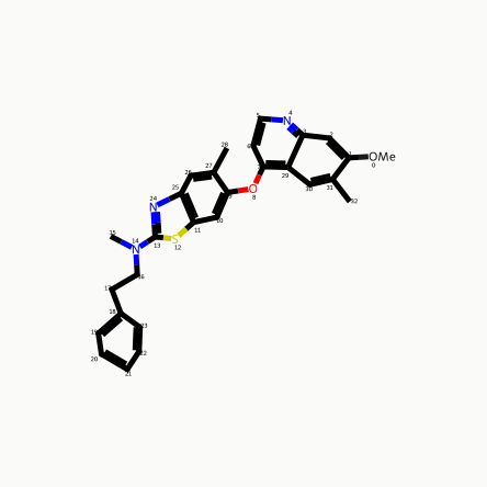 COc1cc2nccc(Oc3cc4sc(N(C)CCc5ccccc5)nc4cc3C)c2cc1C